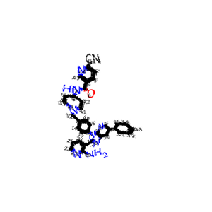 N#Cc1ccc(C(=O)NC2CCN(Cc3ccc(-n4c(-c5cccnc5N)nc5cc(-c6ccccc6)cnc54)cc3)CC2)cn1